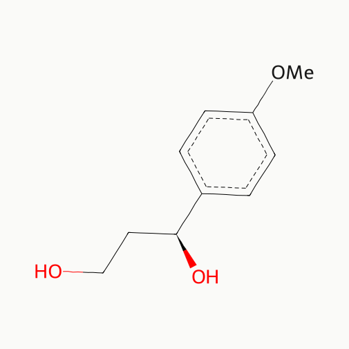 COc1ccc([C@@H](O)CCO)cc1